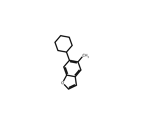 Cc1cc2ccoc2cc1C1CCCCC1